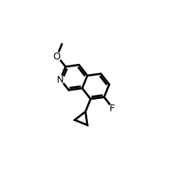 COc1cc2ccc(F)c(C3CC3)c2cn1